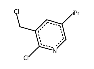 CC(C)c1cnc(Cl)c(CCl)c1